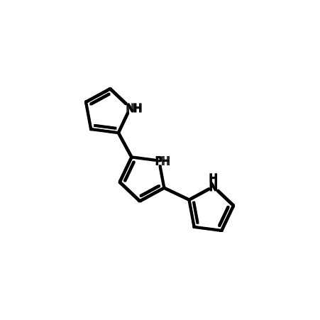 c1c[nH]c(-c2ccc(-c3ccc[nH]3)[pH]2)c1